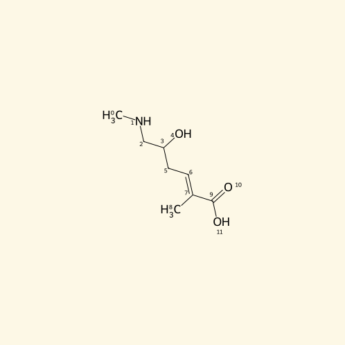 CNCC(O)C/C=C(\C)C(=O)O